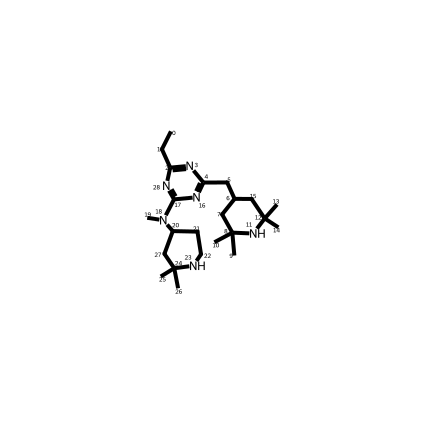 CCc1nc(CC2CC(C)(C)NC(C)(C)C2)nc(N(C)C2CCNC(C)(C)C2)n1